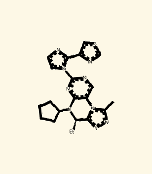 CC[C@@H]1c2nnc(C)n2-c2cnc(-n3ccnc3-c3cscn3)nc2N1C1CCCC1